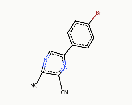 N#Cc1ncc(-c2ccc(Br)cc2)nc1C#N